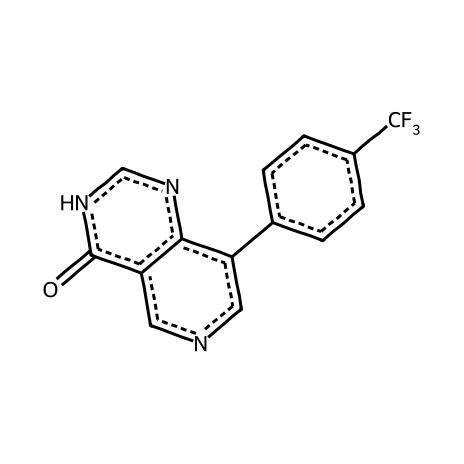 O=c1[nH]cnc2c(-c3ccc(C(F)(F)F)cc3)cncc12